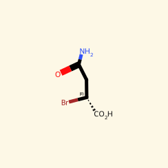 NC(=O)C[C@@H](Br)C(=O)O